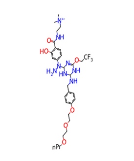 CCCOCCOCCOc1ccc(CNC2NC(OCC(F)(F)F)=NC(N(N)c3ccc(C(=O)NCC[N+](C)(C)C)c(O)c3)N2)cc1